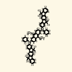 CC(C)c1c2ccc(N(c3ccccc3)c3ccc4c(c3)C(C)(C)c3cc5c(cc3-4)C(C)(C)c3ccccc3-5)cc2c(C(C)C)c2ccc(N(c3ccccc3)c3ccc4c(c3)C(C)(C)c3cc5c(cc3-4)C(C)(C)c3ccccc3-5)cc12